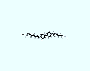 CCC=COC[C@H]1CC[C@H]([C@H]2CC[C@H](C=CCCCCC)CC2)CC1